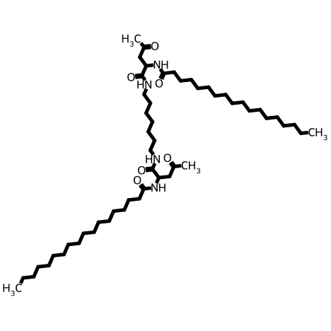 CCCCCCCCCCCCCCCCCC(=O)NC(CC(C)=O)C(=O)NCCCCCCCNC(=O)C(CC(C)=O)NC(=O)CCCCCCCCCCCCCCCCC